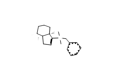 CC[C@]12CCC[C@@H](C)[C@@H]1CC=C2[Si](C)(C)Cc1ccccc1